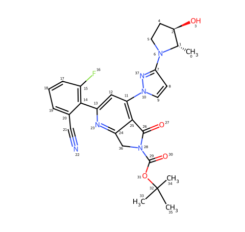 C[C@H]1[C@H](O)CCN1c1ccn(-c2cc(-c3c(F)cccc3C#N)nc3c2C(=O)N(C(=O)OC(C)(C)C)C3)n1